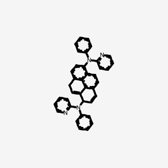 C1=CC(N(c2ccccc2)c2ccccn2)C2=CCc3ccc(N(c4ccccc4)c4ccccn4)c4ccc1c2c34